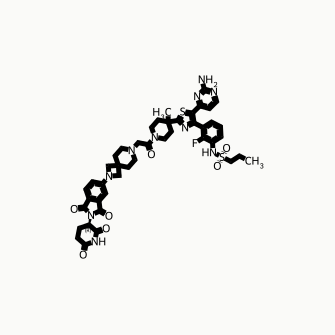 CCCS(=O)(=O)Nc1cccc(-c2nc(C3(C)CCN(C(=O)CN4CCC5(CC4)CN(c4ccc6c(c4)C(=O)N([C@@H]4CCC(=O)NC4=O)C6=O)C5)CC3)sc2-c2ccnc(N)n2)c1F